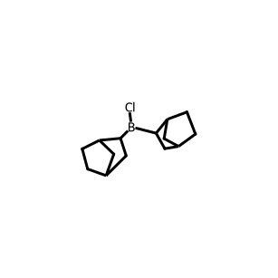 ClB(C1CC2CCC1C2)C1CC2CCC1C2